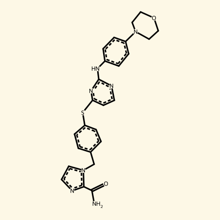 NC(=O)c1nccn1Cc1ccc(Sc2ccnc(Nc3ccc(N4CCOCC4)cc3)n2)cc1